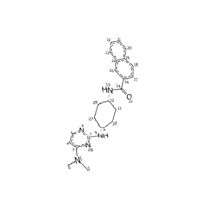 CN(C)c1ccnc(N[C@H]2CC[C@@H](NC(=O)c3ccc4ccccc4c3)CC2)n1